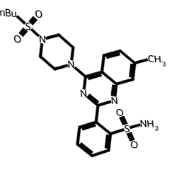 CCCCS(=O)(=O)N1CCN(c2nc(-c3ccccc3S(N)(=O)=O)nc3cc(C)ccc23)CC1